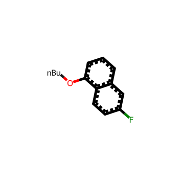 CCCCOc1cccc2cc(F)ccc12